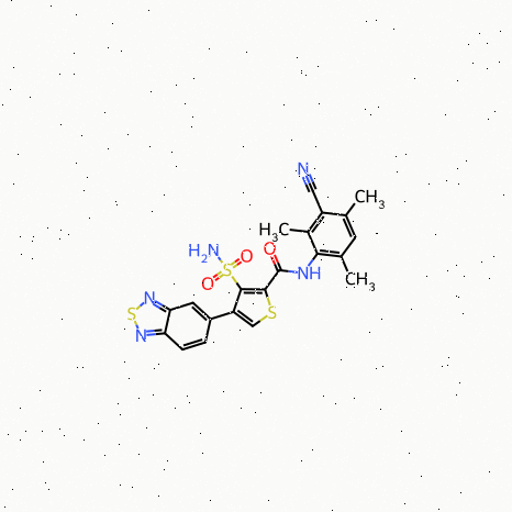 Cc1cc(C)c(NC(=O)c2scc(-c3ccc4nsnc4c3)c2S(N)(=O)=O)c(C)c1C#N